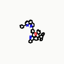 c1ccc(-c2ccc3ccc4ccc(-c5ccc(-c6nc7ccccc7c7ccc8c(c67)Oc6ccccc6C86c7ccccc7-c7ccccc76)cc5)nc4c3n2)cc1